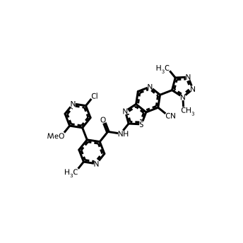 COc1cnc(Cl)cc1-c1cc(C)ncc1C(=O)Nc1nc2cnc(-c3c(C)nnn3C)c(C#N)c2s1